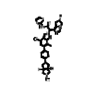 CCN1C[C@H]2CC(c3ccc(-c4cc(Cl)c5cn(C(C(=O)Nc6nccs6)c6ncn7c6C[C@@H](F)C7)nc5c4C)cc3)C[C@H]2C1